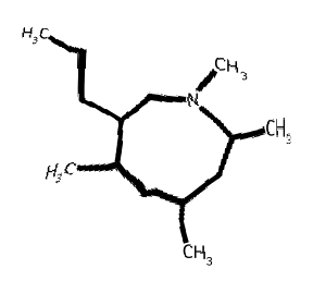 CCCC1CN(C)C(C)CC(C)CC1C